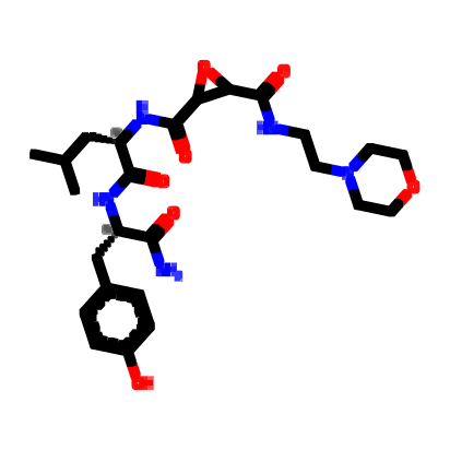 CC(C)C[C@H](NC(=O)C1OC1C(=O)NCCN1CCOCC1)C(=O)N[C@@H](Cc1ccc(O)cc1)C(N)=O